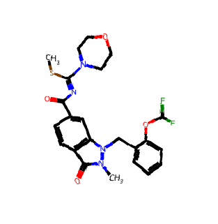 CS/C(=N\C(=O)c1ccc2c(=O)n(C)n(Cc3ccccc3OC(F)F)c2c1)N1CCOCC1